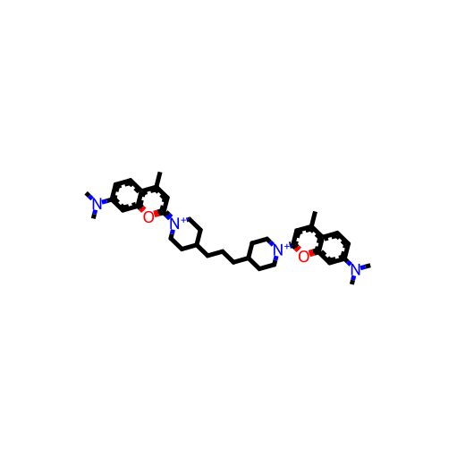 Cc1cc(=[N+]2CCC(CCCC3CC[N+](=c4cc(C)c5ccc(N(C)C)cc5o4)CC3)CC2)oc2cc(N(C)C)ccc12